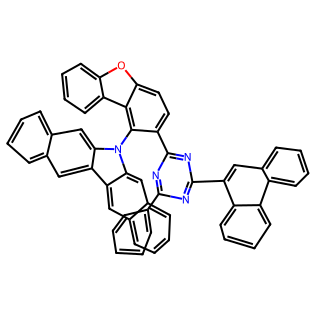 c1ccc(-c2nc(-c3ccc4oc5ccccc5c4c3-n3c4cc5ccccc5cc4c4cc5ccccc5cc43)nc(-c3cc4ccccc4c4ccccc34)n2)cc1